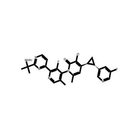 CC(=O)NC(C)(C)c1nccc(-c2ncc(C)c(-n3c(C)cc([C@H]4C[C@@H]4c4cncc(F)c4)c(Cl)c3=O)c2F)n1